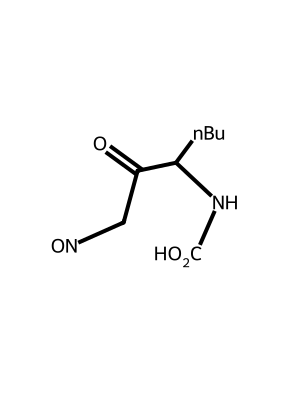 CCCCC(NC(=O)O)C(=O)CN=O